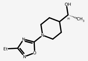 CCc1noc(N2CCC([C@@H](C)O)CC2)n1